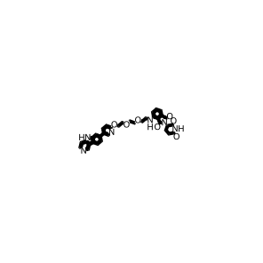 O=C1CCC(N2C(=O)c3cccc(NCCOCCOCCOc4ccc(-c5ccc6c(c5)[nH]c5ccncc56)cn4)c3C2=O)C(=O)N1